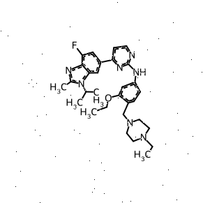 CCOc1cc(Nc2nccc(-c3cc(F)c4nc(C)n(C(C)C)c4c3)n2)ccc1CN1CCN(CC)CC1